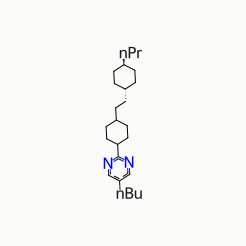 CCCCc1cnc(C2CCC(CC[C@H]3CC[C@H](CCC)CC3)CC2)nc1